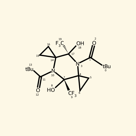 CC(C)(C)C(=O)N1C2(CC2)[C@@](O)(C(F)(F)F)N(C(=O)C(C)(C)C)C2(CC2)[C@]1(O)C(F)(F)F